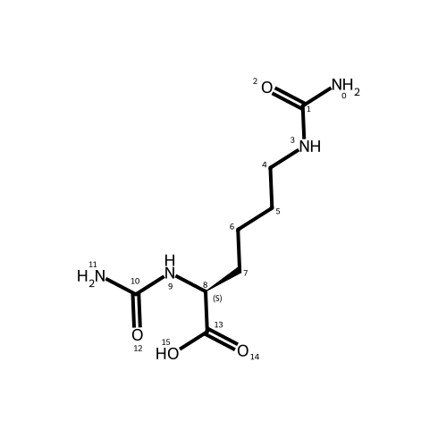 NC(=O)NCCCC[C@H](NC(N)=O)C(=O)O